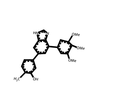 COc1cc(-c2cc(-c3ccc(C)c(O)c3)cc3[nH]cnc23)cc(OC)c1OC